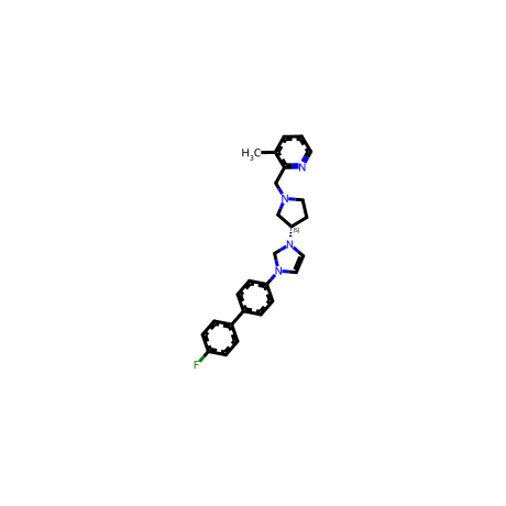 Cc1cccnc1CN1CC[C@H](N2C=CN(c3ccc(-c4ccc(F)cc4)cc3)C2)C1